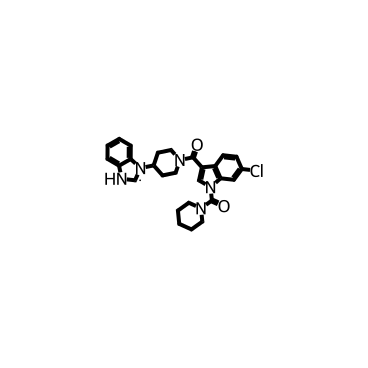 O=C(c1cn(C(=O)N2CCCCC2)c2cc(Cl)ccc12)N1CCC(N2[CH]Nc3ccccc32)CC1